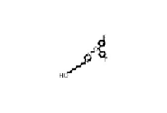 OCCCCCCCCN1CCN(CCOC(c2ccc(F)cc2)c2ccc(F)cc2)CC1